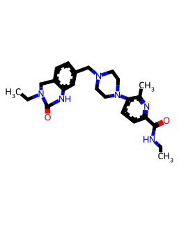 CCNC(=O)c1ccc(N2CCN(Cc3ccc4c(c3)NC(=O)N(CC)C4)CC2)c(C)n1